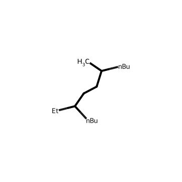 CCCCC(C)CCC(CC)CCCC